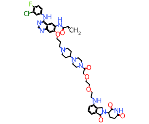 C=CC(=O)Nc1cc2c(Nc3ccc(F)c(Cl)c3)ncnc2cc1OCCCN1CCC(N2CCN(C(=O)COCCOCCNc3cccc4c3CN(C3CCC(=O)NC3=O)C4=O)CC2)CC1